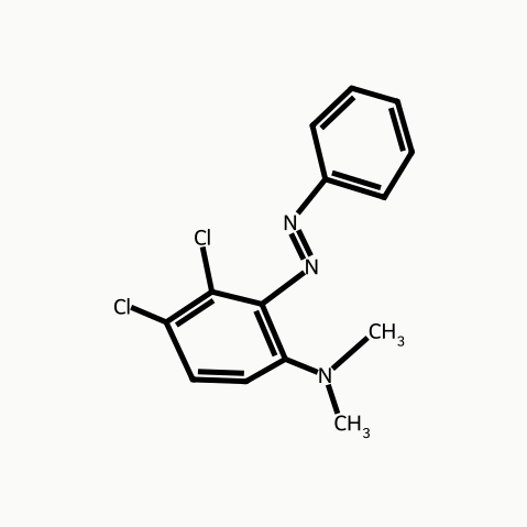 CN(C)c1ccc(Cl)c(Cl)c1/N=N/c1ccccc1